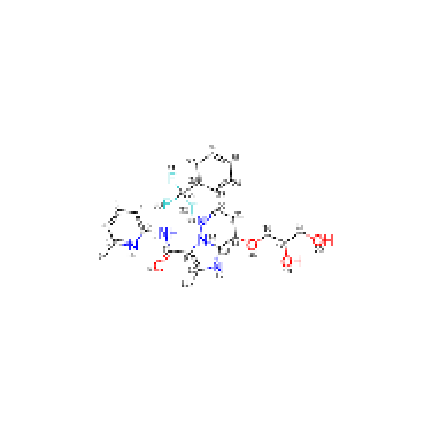 Cc1cccc(NC(=O)c2c(C)nc3c(OC[C@H](O)CO)cc(-c4ccccc4C(F)(F)F)nn23)n1